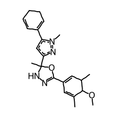 COC1C(C)=CC(C2=NNC(C)(c3cc(C4=CCCC=C4)n(C)n3)O2)=CC1C